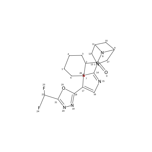 O=C(C1CCCCC1)N1C2CC1CN(c1ncc(-c3nnc(C(F)F)o3)s1)C2